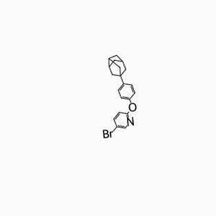 Brc1ccc(Oc2ccc(C34CC5CC(C3)C(C5)C4)cc2)nc1